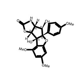 COc1ccc([C@@]23Oc4cc(OC)cc(OC)c4[C@]2(O)[C@@H]2OC(=O)N[C@@H]2[C@H]3C)cc1